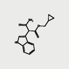 NC(=O)C(C(=O)OCC1CC1)c1c[nH]c2ccccc12